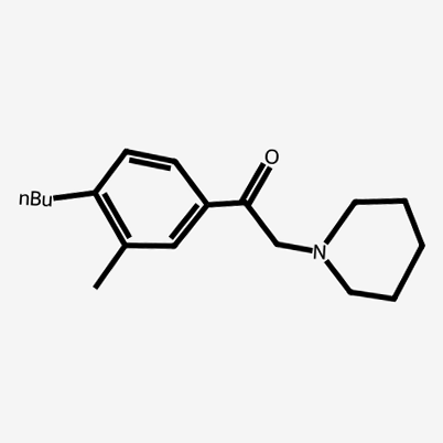 CCCCc1ccc(C(=O)CN2CCCCC2)cc1C